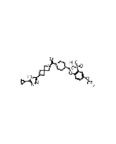 CS(=O)(=O)c1cc(OC(F)(F)F)ccc1OCC1CCN(C(=O)N2CC3(CC(c4nnc(C5CC5)[nH]4)C3)C2)CC1